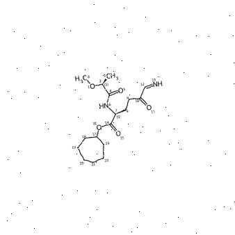 CO[C@@H](C)C(=O)N[C@@H](CCC(=O)C=N)C(=O)OC1CCCCCC1